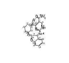 NC(=O)c1cnc(NC2CCOc3ccccc32)nc1N[C@@H]1CCC[C@H](O)C1